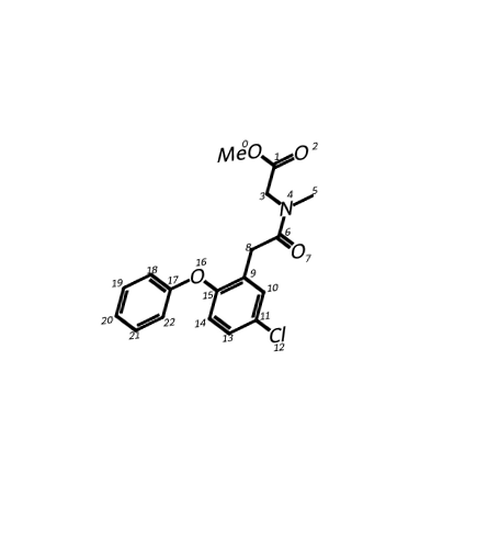 COC(=O)CN(C)C(=O)Cc1cc(Cl)ccc1Oc1ccccc1